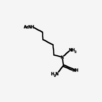 CC(=O)NCCCCN(N)C(=N)N